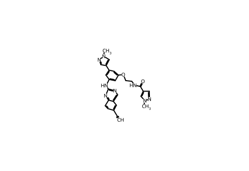 C#Cc1ccc2nc(Nc3cc(OCCNC(=O)c4cnn(C)c4)cc(-c4cnn(C)c4)c3)ncc2c1